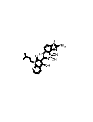 CC(C)CCn1c(=O)c(C2=NS(O)(O)c3c(ccc4[nH]c(N)nc34)N2)c(O)c2cccnc21